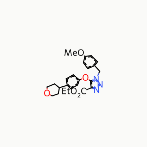 CCOC(=O)c1nnn(Cc2ccc(OC)cc2)c1Oc1ccc(C2CCOCC2)cc1